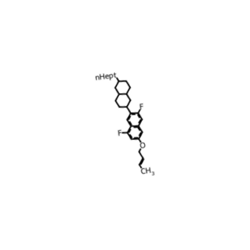 CC=CCOc1cc(F)c2cc(C3CCC4CC(CCCCCCC)CCC4C3)c(F)cc2c1